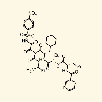 CCC(N)CC(=O)N(C(=O)C(=O)NS(=O)(=O)c1ccc([N+](=O)[O-])cc1)C(=O)[C@H](CC1CCCCC1)NC(=O)[C@@H](NC(=O)[C@H](CC(C)C)NC(=O)c1cnccn1)[C@@H](C)CC